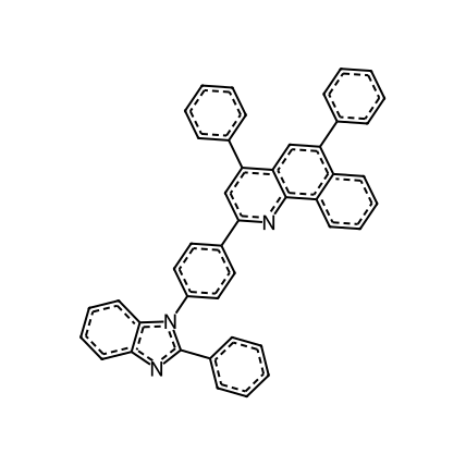 c1ccc(-c2cc3c(-c4ccccc4)cc(-c4ccc(-n5c(-c6ccccc6)nc6ccccc65)cc4)nc3c3ccccc23)cc1